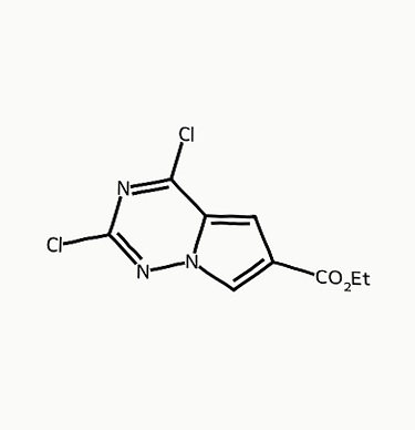 CCOC(=O)c1cc2c(Cl)nc(Cl)nn2c1